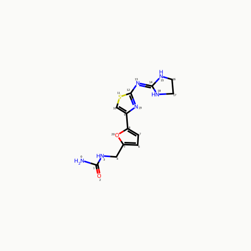 NC(=O)NCc1ccc(-c2csc(N=C3NCCN3)n2)o1